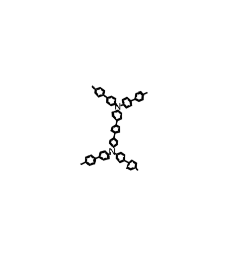 Cc1ccc(-c2ccc(N(c3ccc(-c4ccc(C)cc4)cc3)c3ccc(-c4ccc(-c5ccc(N(c6ccc(-c7ccc(C)cc7)cc6)c6ccc(-c7ccc(C)cc7)cc6)cc5)cc4)cc3)cc2)cc1